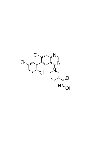 O=C(NO)C1CCCN(c2ncnc3cc(Cl)c(-c4cc(Cl)ccc4Cl)cc23)C1